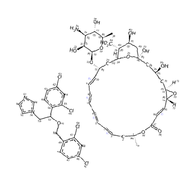 C[C@@H]1C/C=C/C=C/C=C/C=C/[C@H](O[C@@H]2O[C@H](C)[C@@H](O)[C@H](N)[C@@H]2O)C[C@@H]2O[C@](O)(C[C@@H](O)C[C@H]3O[C@@H]3/C=C/C(=O)O1)C[C@H](O)[C@H]2C(=O)O.Clc1ccc(COC(Cn2ccnc2)c2ccc(Cl)cc2Cl)c(Cl)c1